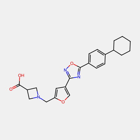 O=C(O)C1CN(Cc2cc(-c3noc(-c4ccc(C5CCCCC5)cc4)n3)co2)C1